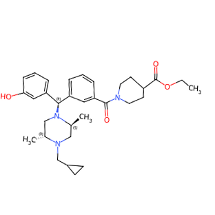 CCOC(=O)C1CCN(C(=O)c2cccc([C@H](c3cccc(O)c3)N3C[C@@H](C)N(CC4CC4)C[C@@H]3C)c2)CC1